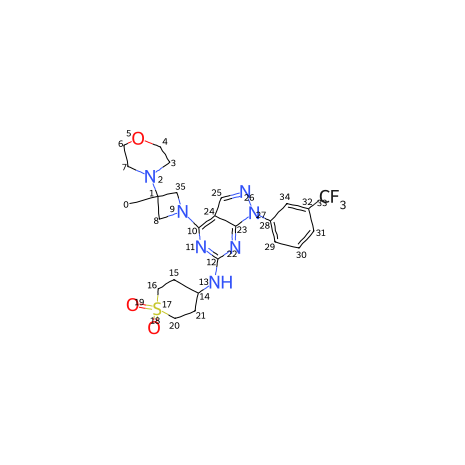 CC1(N2CCOCC2)CN(c2nc(NC3CCS(=O)(=O)CC3)nc3c2cnn3-c2cccc(C(F)(F)F)c2)C1